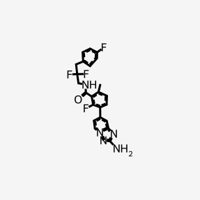 Cc1ccc(-c2ccn3nc(N)nc3c2)c(F)c1C(=O)NCC(F)(F)Cc1ccc(F)cc1